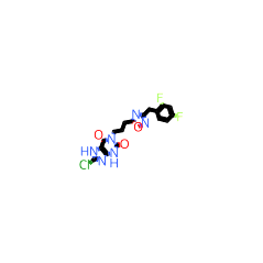 O=c1[nH]c2nc(Cl)[nH]c2c(=O)n1CCCc1nc(Cc2ccc(F)cc2F)no1